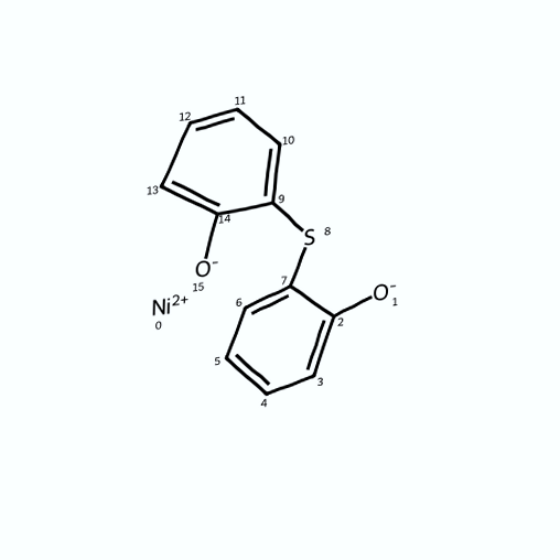 [Ni+2].[O-]c1ccccc1Sc1ccccc1[O-]